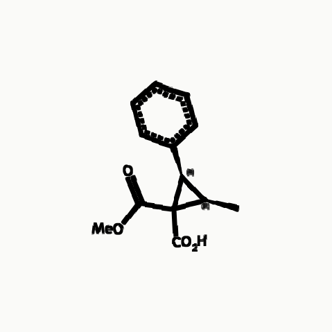 COC(=O)C1(C(=O)O)[C@H](C)[C@@H]1c1ccccc1